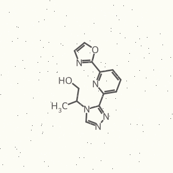 CC(CO)n1cnnc1-c1cccc(-c2ncco2)n1